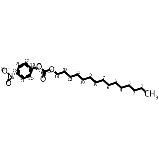 CCCCCCCCCCCCCCCOC(=O)Oc1ccc([N+](=O)[O-])cc1